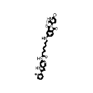 CN1CCC[C@H]1c1cc2cnc(NC(=O)CCCCCCNc3ccc4c(c3)C(=O)N(C3CCC(=O)NC3=O)C4=O)cc2[nH]1